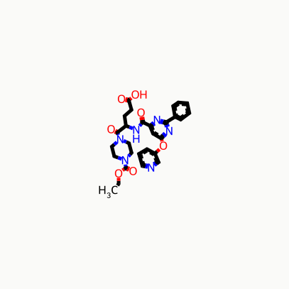 CCOC(=O)N1CCN(C(=O)C(CCC(=O)O)NC(=O)c2cc(Oc3cccnc3)nc(-c3ccccc3)n2)CC1